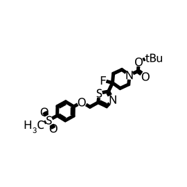 CC(C)(C)OC(=O)N1CCC(F)(c2ncc(COc3ccc(S(C)(=O)=O)cc3)s2)CC1